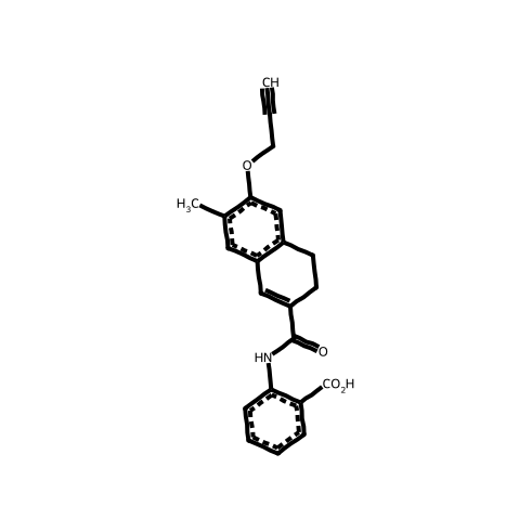 C#CCOc1cc2c(cc1C)C=C(C(=O)Nc1ccccc1C(=O)O)CC2